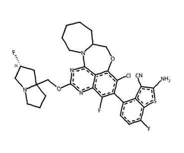 N#Cc1c(N)sc2c(F)ccc(-c3c(Cl)c4c5c(nc(OCC67CCCN6C[C@H](F)C7)nc5c3F)N3CCCCCC3CO4)c12